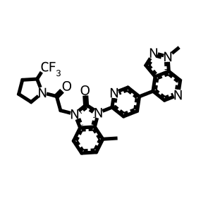 Cc1cccc2c1n(-c1ccc(-c3cncc4c3cnn4C)cn1)c(=O)n2CC(=O)N1CCCC1C(F)(F)F